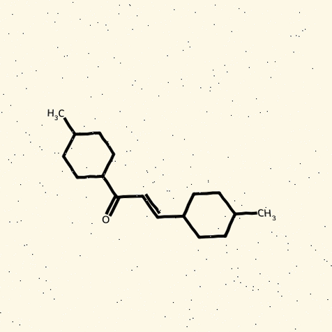 CC1CCC(C=CC(=O)C2CCC(C)CC2)CC1